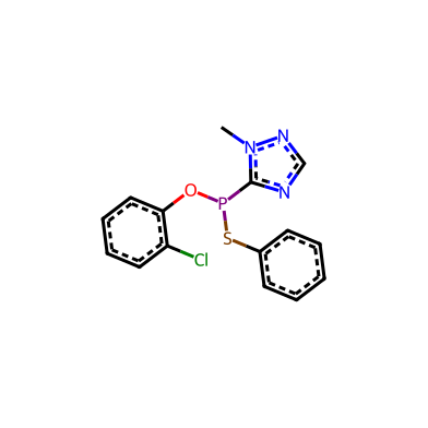 Cn1ncnc1P(Oc1ccccc1Cl)Sc1ccccc1